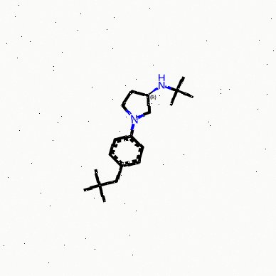 CC(C)(C)Cc1ccc(N2CC[C@@H](NC(C)(C)C)C2)cc1